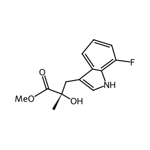 COC(=O)[C@@](C)(O)Cc1c[nH]c2c(F)cccc12